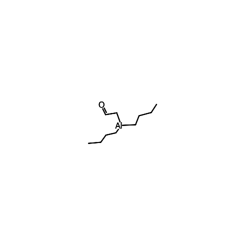 CCC[CH2][Al]([CH2]C=O)[CH2]CCC